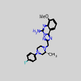 COc1cccc2c1nc(N)n1nc(CN3CCN(c4ccc(F)cc4)C[C@H]3C)nc21